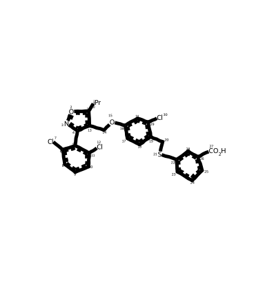 CC(C)c1onc(-c2c(Cl)cccc2Cl)c1COc1ccc(CSc2cccc(C(=O)O)c2)c(Cl)c1